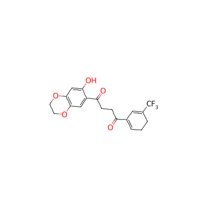 O=C(CCC(=O)c1cc2c(cc1O)OCCO2)C1=CCCC(C(F)(F)F)=C1